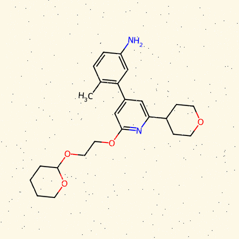 Cc1ccc(N)cc1-c1cc(OCCOC2CCCCO2)nc(C2CCOCC2)c1